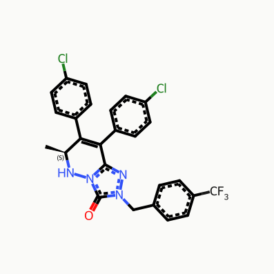 C[C@@H]1Nn2c(nn(Cc3ccc(C(F)(F)F)cc3)c2=O)C(c2ccc(Cl)cc2)=C1c1ccc(Cl)cc1